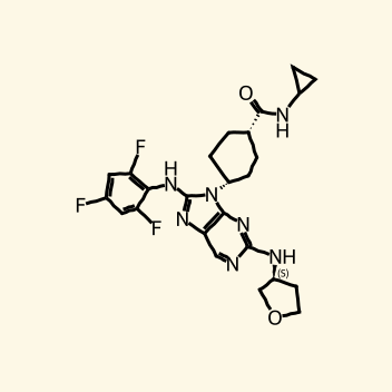 O=C(NC1CC1)[C@H]1CC[C@@H](n2c(Nc3c(F)cc(F)cc3F)nc3cnc(N[C@H]4CCOC4)nc32)CC1